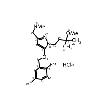 CNCc1cc(OCc2cc(F)ccc2F)n(CCC(C)(C)OC)n1.Cl